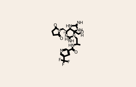 CC(CN1C(=N)N[C@@H](CN2C(=O)CCC2=O)C2NC(=N)NC21CO)NC(=O)c1cncc(C(F)(F)F)c1